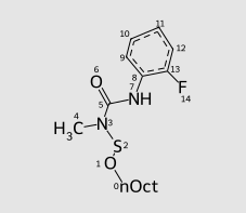 CCCCCCCCOSN(C)C(=O)Nc1ccccc1F